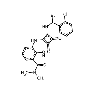 CCC(Nc1c(Nc2cccc(C(=O)N(C)C)c2O)c(=O)c1=O)c1ccccc1Cl